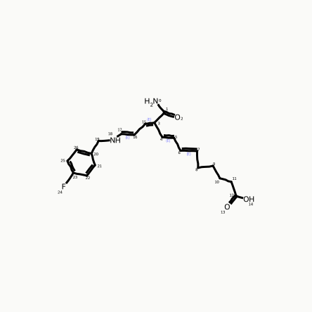 NC(=O)C(/C=C/C=C/CCCCC(=O)O)=C/C=C/NCc1ccc(F)cc1